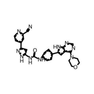 N#Cc1cc(-c2cc(NC(=O)Nc3ccc(-c4cc5c(N6CCOCC6)ncnc5[nH]4)cc3)[nH]n2)ccn1